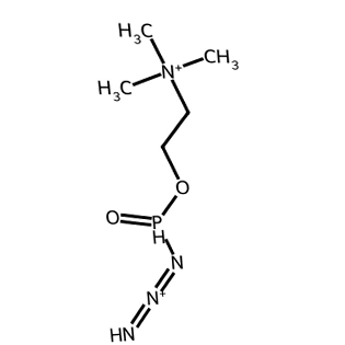 C[N+](C)(C)CCO[PH](=O)N=[N+]=N